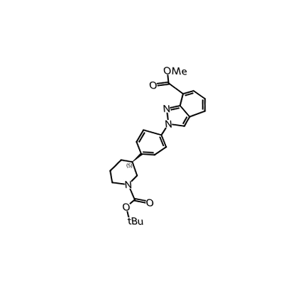 COC(=O)c1cccc2cn(-c3ccc([C@@H]4CCCN(C(=O)OC(C)(C)C)C4)cc3)nc12